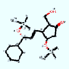 CC(C)(C)[Si](C)(C)OC1CC(=O)C(CO)C1C=C[C@@H](O[Si](C)(C)C(C)(C)C)C1CCCCC1